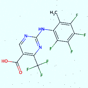 Cc1c(F)c(F)c(F)c(F)c1Nc1ncc(C(=O)O)c(C(F)(F)F)n1